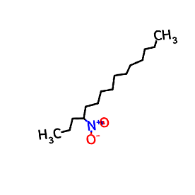 CCCCCCCCCCCC(CCC)[N+](=O)[O-]